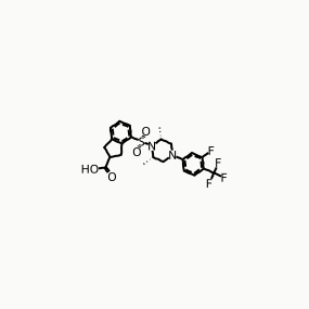 C[C@@H]1CN(c2ccc(C(F)(F)F)c(F)c2)C[C@H](C)N1S(=O)(=O)c1cccc2c1CC(C(=O)O)C2